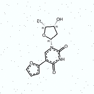 CC[C@H]1O[C@@H](n2cc(-c3ccco3)c(=O)[nH]c2=O)C[C@H]1O